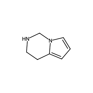 c1cc2n(c1)CNCC2